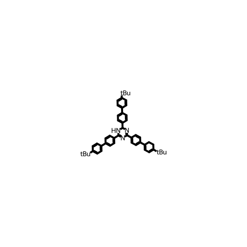 CC(C)(C)C1=CC=C(c2ccc(C3=NC(c4ccc(-c5ccc(C(C)(C)C)cc5)cc4)NC(c4ccc(-c5ccc(C(C)(C)C)cc5)cc4)=N3)cc2)CC1